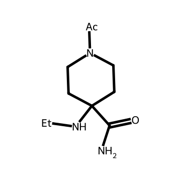 CCNC1(C(N)=O)CCN(C(C)=O)CC1